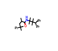 CC(CC(C)(C)C(C)C)C(=O)NC(C)(C)C(C)(C)C(C(C)C)C(C)C